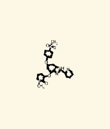 Cn1cccc(Oc2cc(Oc3ccc(S(C)(=O)=O)cc3)cc3[nH]c(-c4ccccn4)nc23)c1=O